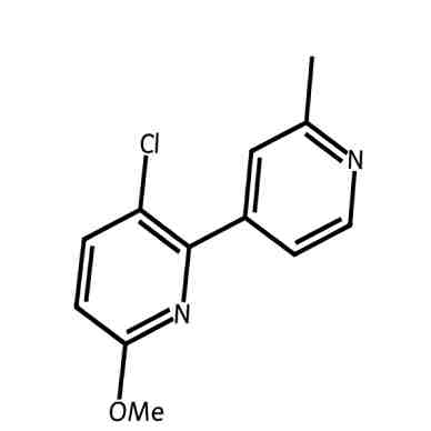 COc1ccc(Cl)c(-c2ccnc(C)c2)n1